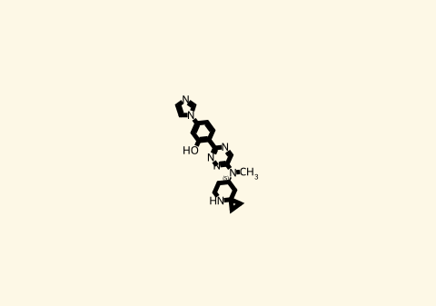 CN(c1cnc(-c2ccc(-n3ccnc3)cc2O)nn1)[C@H]1CCNC2(CC2)C1